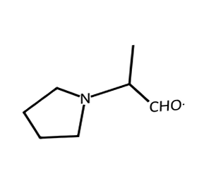 CC([C]=O)N1CCCC1